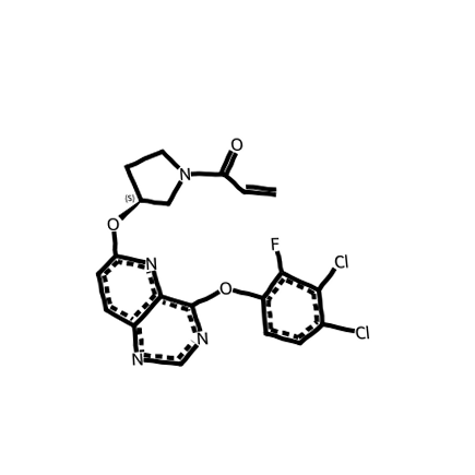 C=CC(=O)N1CC[C@H](Oc2ccc3ncnc(Oc4ccc(Cl)c(Cl)c4F)c3n2)C1